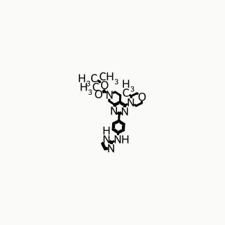 CC1COCCN1c1nc(-c2ccc(Nc3ncc[nH]3)cc2)nc2c1CCN(C(=O)OC(C)(C)C)C2